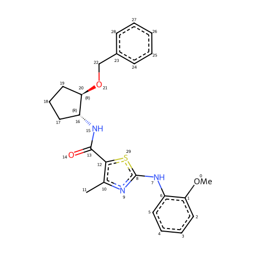 COc1ccccc1Nc1nc(C)c(C(=O)N[C@@H]2CCC[C@H]2OCc2ccccc2)s1